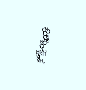 NOCC(=O)NNC(=O)c1ccc2nc(-c3cc4cc5c6c(c4oc3=O)CCCN6CCC5)oc2c1